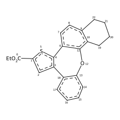 CCOC(=O)c1cc2c(s1)-c1ccc3c(c1Oc1ccccc1-2)CCCC3